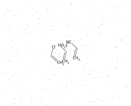 C=CC#N.C=CC(=O)O.C=CCl